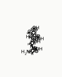 CC(=O)Nc1cc(S(=O)(=O)O)cc2cc(S(=O)(=O)O)c(N=Nc3cc(C)c(N=Nc4cc(CN)c(C)cc4S(=O)(=O)O)cc3O)c(O)c12